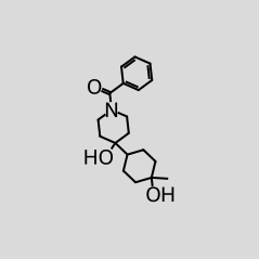 CC1(O)CCC(C2(O)CCN(C(=O)c3ccccc3)CC2)CC1